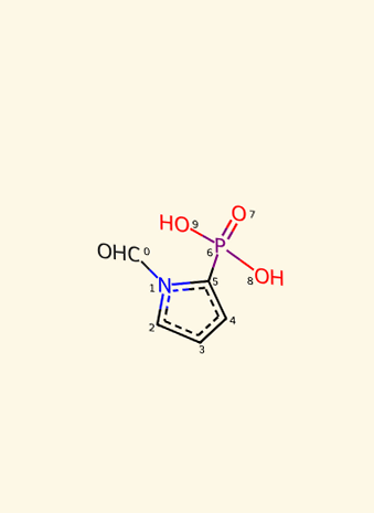 O=Cn1cccc1P(=O)(O)O